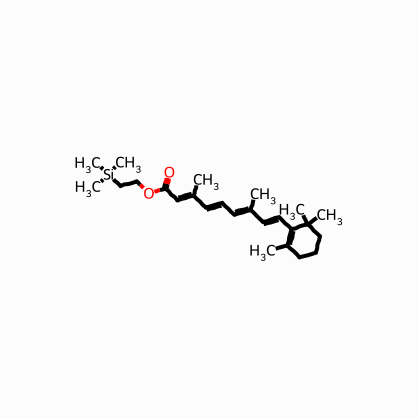 CC1=C(/C=C/C(C)=C/C=C/C(C)=C/C(=O)OCC[Si](C)(C)C)C(C)(C)CCC1